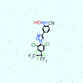 N#Cc1ccc(-c2cn(-c3c(Cl)cc(C(F)(C(F)(F)F)C(F)(F)C(F)(F)F)cc3Cl)nn2)cc1NO